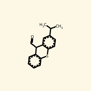 CC(C)c1ccc2c(c1)C(C=O)c1ccccc1S2